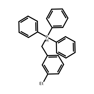 CCc1cccc(C[PH](c2ccccc2)(c2ccccc2)c2ccccc2)c1